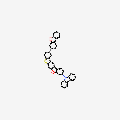 c1ccc2c(c1)oc1cc(-c3ccc4sc5cc6oc7cc(-n8c9ccccc9c9ccccc98)ccc7c6cc5c4c3)ccc12